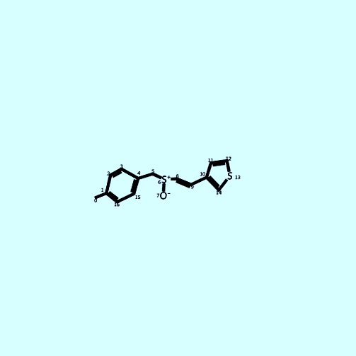 Cc1ccc(C[S+]([O-])/C=C/c2ccsc2)cc1